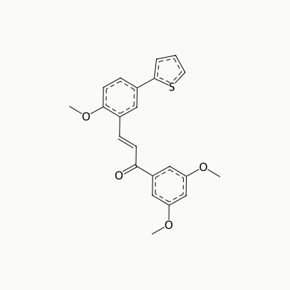 COc1cc(OC)cc(C(=O)C=Cc2cc(-c3cccs3)ccc2OC)c1